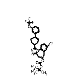 CC(C)(C)OC(=O)ON1Cc2cc(Cl)ccc2-n2c(nnc2C2CC=C(c3cccc(OC(F)(F)F)c3)CC2)C1